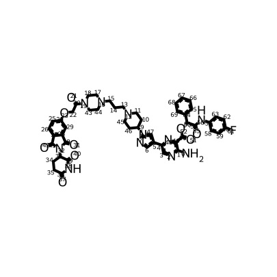 Nc1ncc(-c2cnn(C3CCN(CCCN4CCN(C(=O)COc5ccc6c(c5)C(=O)N(C5CCC(=O)NC5=O)C6=O)CC4)CC3)c2)nc1C(=O)O[C@@H](C(=O)Nc1ccc(F)cc1)c1ccccc1